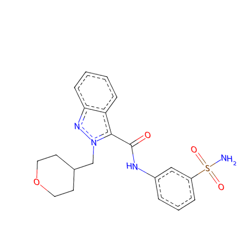 NS(=O)(=O)c1cccc(NC(=O)c2c3ccccc3nn2CC2CCOCC2)c1